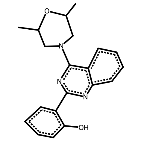 CC1CN(c2nc(-c3ccccc3O)nc3ccccc23)CC(C)O1